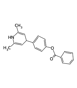 CC1=CC(c2ccc(OC(=O)c3ccccc3)cc2)C=C(C)N1